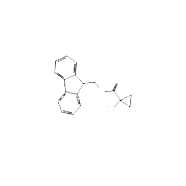 CC(C)(C)C1(C(=O)OCC2c3ccccc3-c3ccccc32)[CH]C1